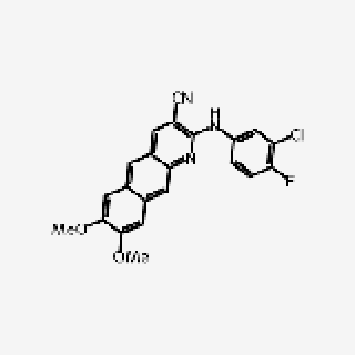 COc1cc2cc3cc(C#N)c(Nc4ccc(F)c(Cl)c4)nc3cc2cc1OC